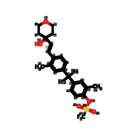 CCC(CC)(c1ccc(/C=C/C2(O)CCOCC2)c(C)c1)c1ccc(OS(=O)(=O)C(F)(F)F)c(C)c1